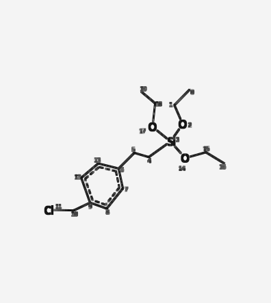 CCO[Si](CCc1ccc(CCl)cc1)(OCC)OCC